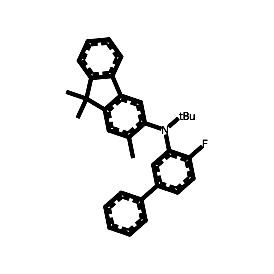 Cc1cc2c(cc1N(c1cc(-c3ccccc3)ccc1F)C(C)(C)C)-c1ccccc1C2(C)C